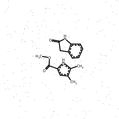 COC(=O)c1cc(C)c(C)[nH]1.O=C1Cc2ccccc2N1